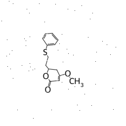 COC1=CC(=O)OC(CCSc2ccccc2)C1